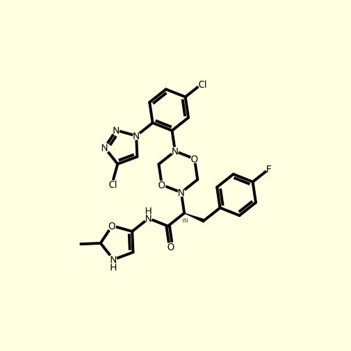 CC1NC=C(NC(=O)[C@H](Cc2ccc(F)cc2)N2CON(c3cc(Cl)ccc3-n3cc(Cl)nn3)CO2)O1